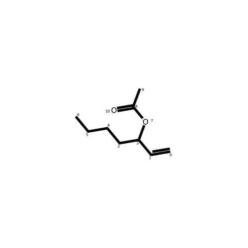 C=CC(CCCC)OC(C)=O